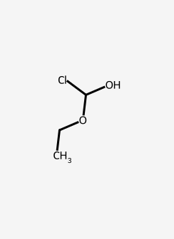 CCOC(O)Cl